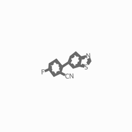 N#Cc1cc(F)ccc1-c1ccc2ncsc2c1